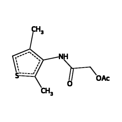 CC(=O)OCC(=O)Nc1c(C)csc1C